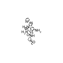 C=CC(=O)N1CCCC(NC(=O)c2sc3c(N)ccc4c3c2C(N)C(=O)C4(N)c2ccnc(-c3ccccn3)c2)C1